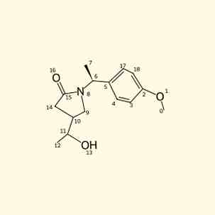 COc1ccc([C@H](C)N2CC(C(C)O)CC2=O)cc1